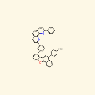 N#Cc1ccc(-c2cc3c(oc4cccc(-c5cccc(-c6ccc7ccc8ccc(-c9ccccc9)nc8c7n6)c5)c43)c3ccccc23)cc1